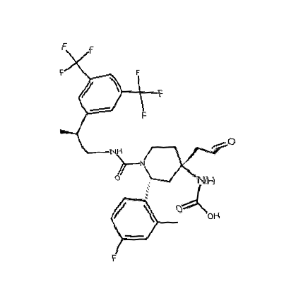 Cc1cc(F)ccc1[C@H]1C[C@@](CC=O)(NC(=O)O)CCN1C(=O)NC[C@@H](C)c1cc(C(F)(F)F)cc(C(F)(F)F)c1